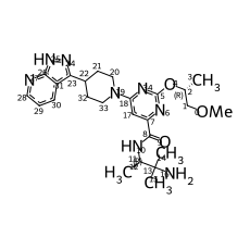 COC[C@@H](C)Oc1nc(C(=O)N[C@H](C)C(C)(C)N)cc(N2CCC(c3n[nH]c4ncccc34)CC2)n1